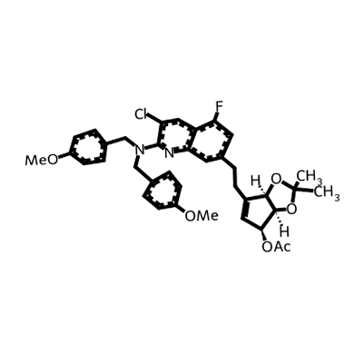 COc1ccc(CN(Cc2ccc(OC)cc2)c2nc3cc(CCC4=C[C@H](OC(C)=O)[C@@H]5OC(C)(C)O[C@H]45)cc(F)c3cc2Cl)cc1